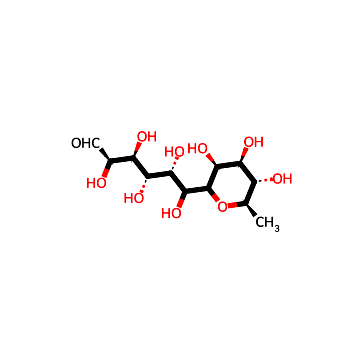 C[C@H]1OC(C(O)[C@@H](O)[C@H](O)[C@H](O)[C@@H](O)C=O)[C@@H](O)[C@@H](O)[C@@H]1O